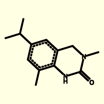 Cc1cc(C(C)C)cc2c1NC(=O)N(C)C2